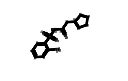 Nc1ccccc1S(=O)(=O)NC(=O)CC1CCCC1